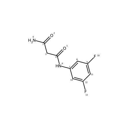 NC(=O)CC(=O)Nc1cc(F)cc(F)c1